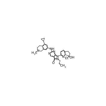 C=CCn1c(=O)c2cnc(Nc3cc4c(c(C5CC5)c3)CCN(C)C4)nc2n1-c1ccc2c(n1)[C@@](O)(CC)CC2